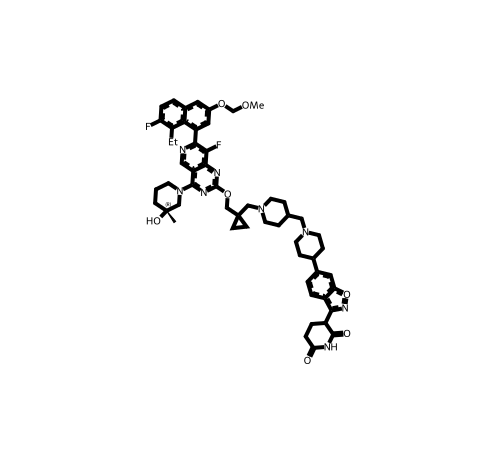 CCc1c(F)ccc2cc(OCOC)cc(-c3ncc4c(N5CCC[C@@](C)(O)C5)nc(OCC5(CN6CCC(CN7CCC(c8ccc9c(C%10CCC(=O)NC%10=O)noc9c8)CC7)CC6)CC5)nc4c3F)c12